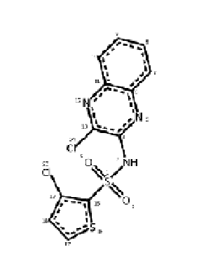 O=S(=O)(Nc1nc2ccccc2nc1Cl)c1sccc1Cl